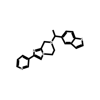 CC(c1ccc2sccc2c1)N1CCn2cc(-c3cccnc3)nc2C1